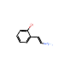 NC=Cc1ccccc1Br